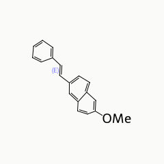 COc1ccc2cc(/C=C/c3ccccc3)ccc2c1